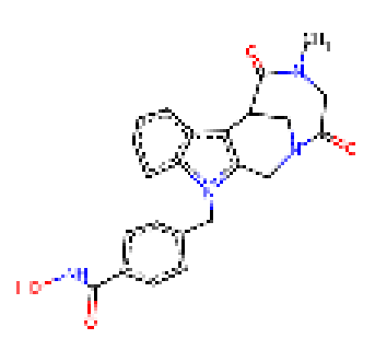 CN1CC(=O)N2Cc3c(c4ccccc4n3Cc3ccc(C(=O)NO)cc3)C(C2)C1=O